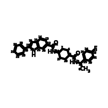 CC(NC(=O)C1CCC(NC(=O)c2ccc3cc(-c4ccccc4)[nH]c3c2)CC1)c1ccc(F)cc1